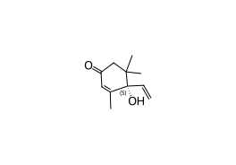 C=C[C@@]1(O)C(C)=CC(=O)CC1(C)C